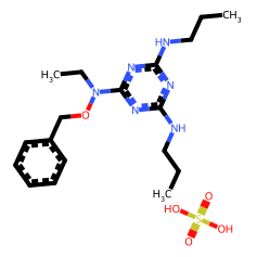 CCCNc1nc(NCCC)nc(N(CC)OCc2ccccc2)n1.O=S(=O)(O)O